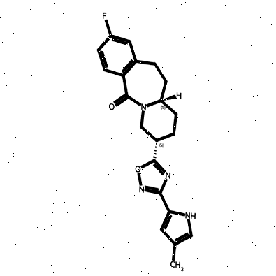 Cc1c[nH]c(-c2noc([C@H]3CC[C@H]4CCc5cc(F)ccc5C(=O)N4C3)n2)c1